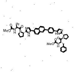 COC(=O)NC(C(=O)N1CCC[C@H]1c1ncc(-c2ccc3cc(-c4ccc(-c5cnc([C@@H]6CCCN6C(=O)[C@H](Cc6ccccc6)NC(=O)OC)[nH]5)cc4)ccc3c2)[nH]1)C(C)C